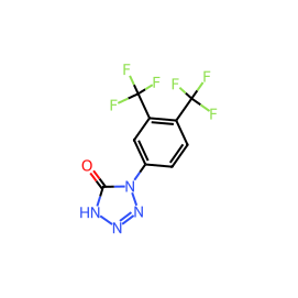 O=c1[nH]nnn1-c1ccc(C(F)(F)F)c(C(F)(F)F)c1